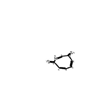 S=c1ccccc(=S)nc1